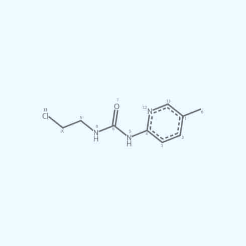 Cc1ccc(NC(=O)NCCCl)nc1